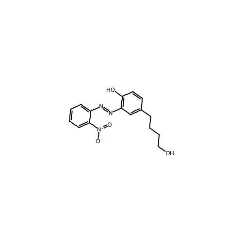 O=[N+]([O-])c1ccccc1N=Nc1cc(CCCCO)ccc1O